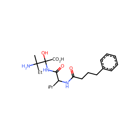 CCC(C)(N)C(O)(NC(=O)C(NC(=O)CCCc1ccccc1)C(C)C)C(=O)O